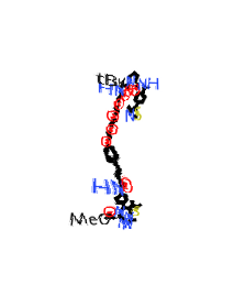 COC(=O)C[C@@H]1N=C(c2ccc(NC(=O)CCc3ccc(OCCOCCOCCOCC(=O)NC(C(=O)N4CCC[C@H]4C(=O)N[C@@H](C)c4ccc(-c5scnc5C)cc4)C(C)(C)C)cc3)cc2)c2c(sc(C)c2C)-n2c(C)nnc21